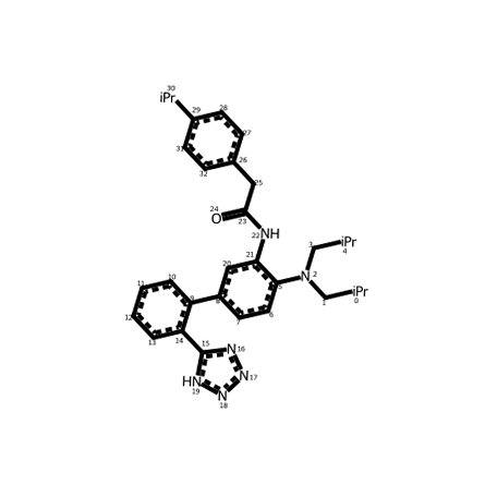 CC(C)CN(CC(C)C)c1ccc(-c2ccccc2-c2nnn[nH]2)cc1NC(=O)Cc1ccc(C(C)C)cc1